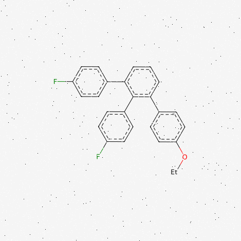 CCOc1ccc(-c2[c]ccc(-c3ccc(F)cc3)c2-c2ccc(F)cc2)cc1